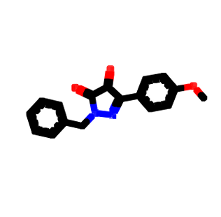 COc1ccc(C2=NN(Cc3ccccc3)C(=O)C2=O)cc1